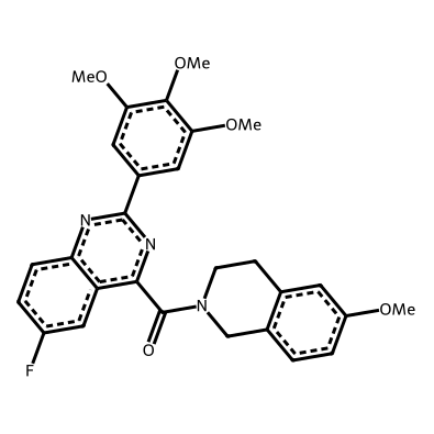 COc1ccc2c(c1)CCN(C(=O)c1nc(-c3cc(OC)c(OC)c(OC)c3)nc3ccc(F)cc13)C2